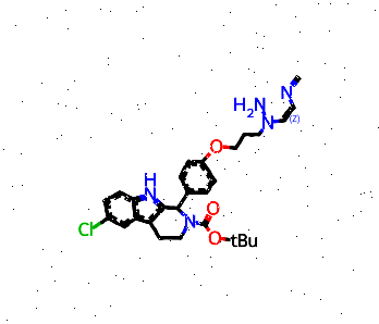 C=N/C=C\N(N)CCCOc1ccc(C2c3[nH]c4ccc(Cl)cc4c3CCN2C(=O)OC(C)(C)C)cc1